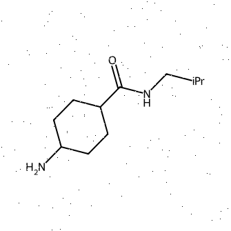 CC(C)CNC(=O)C1CCC(N)CC1